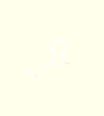 CN(O)CCc1c[nH]c2ccccc12